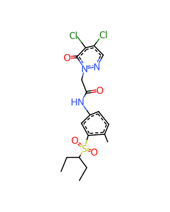 CCC(CC)S(=O)(=O)c1cc(NC(=O)Cn2ncc(Cl)c(Cl)c2=O)ccc1C